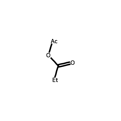 CCC(=O)OC(C)=O